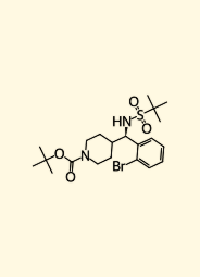 CC(C)(C)OC(=O)N1CCC([C@@H](NS(=O)(=O)C(C)(C)C)c2ccccc2Br)CC1